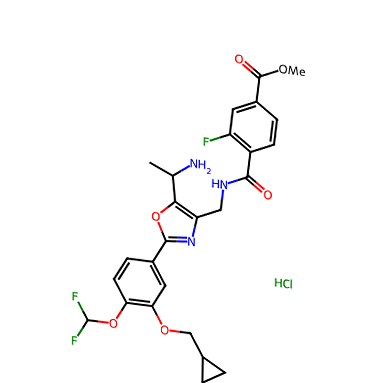 COC(=O)c1ccc(C(=O)NCc2nc(-c3ccc(OC(F)F)c(OCC4CC4)c3)oc2C(C)N)c(F)c1.Cl